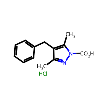 Cc1nn(C(=O)O)c(C)c1Cc1ccccc1.Cl